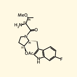 CO[C@H](C)[C@H](N)C(=O)N1CC[C@H](OC(C)=O)[C@H]1Cc1c[nH]c2cc(F)ccc12